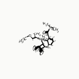 COC[C@@H](C)Nc1c(Nc2cccc(C(=O)N(C)C)c2O)c(=O)c1=O